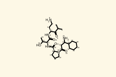 CC(C)C(=O)[C@H](CCN)NC(=O)[C@@H](NC(=O)[C@@H]1CCCN1C(=O)CC(N)C1CCCCC1)C(C)O